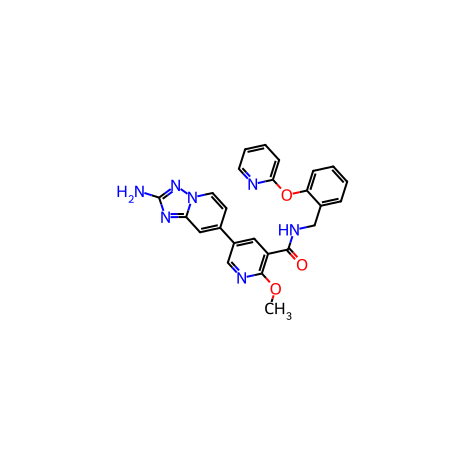 COc1ncc(-c2ccn3nc(N)nc3c2)cc1C(=O)NCc1ccccc1Oc1ccccn1